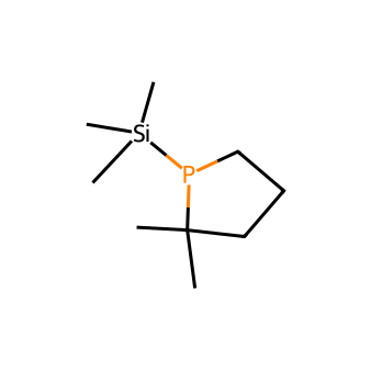 CC1(C)CCCP1[Si](C)(C)C